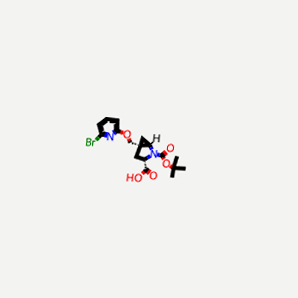 CC(C)(C)OC(=O)N1[C@H](C(=O)O)C[C@@]2(COc3cccc(Br)n3)C[C@@H]12